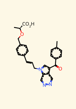 Cc1ccc(C(=O)c2cn(C/C=C/c3ccc(CO[C@@H](C)C(=O)O)cc3)c3cnncc23)cc1